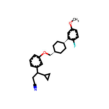 COc1ccc(F)c([C@H]2CC[C@@H](COc3cccc(C(CC#N)C4CC4)c3)CC2)c1